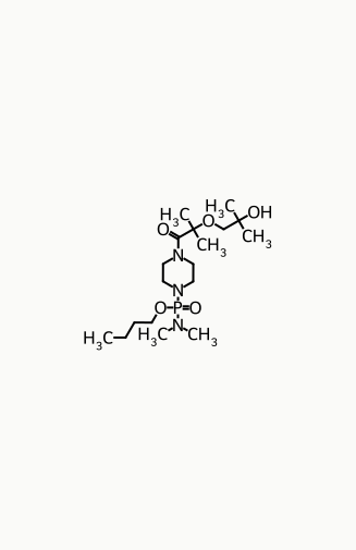 CCCCOP(=O)(N(C)C)N1CCN(C(=O)C(C)(C)OCC(C)(C)O)CC1